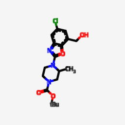 CC1CN(C(=O)OC(C)(C)C)CCN1c1nc2cc(Cl)cc(CO)c2o1